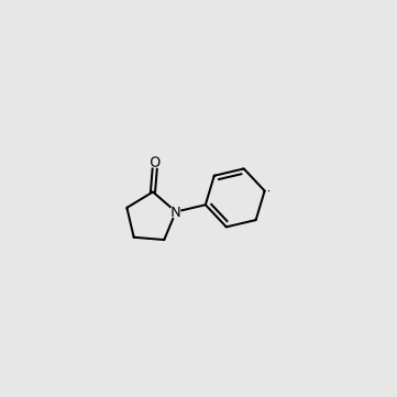 O=C1CCCN1C1=CC[CH]C=C1